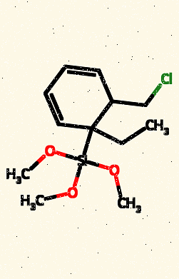 CCC1([Si](OC)(OC)OC)C=CC=CC1CCl